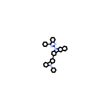 c1ccc(-c2nc(-n3c4ccc(-c5ccc6c(c5)c5ccccc5n6-c5ccccc5)cc4c4cc5ccccc5cc43)nc3ccccc23)cc1